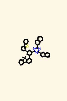 CC1(C)c2ccccc2-c2cccc(-c3cc(-c4nc(-c5ccc6ccccc6c5)nc(-c5ccc6ccccc6c5)n4)cc(-c4cccc5c4sc4ccccc45)c3)c21